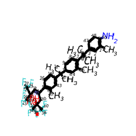 Cc1cc(C(C)(C)c2ccc(C(C)(C)c3ccc(/C(=C/C(O)(C(F)(F)F)C(F)(F)F)CC(O)(C(F)(F)F)C(F)(F)F)c(C)c3)cc2C)ccc1N